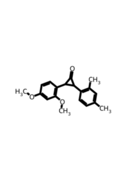 COc1ccc(C2C(=O)C2c2ccc(C)cc2C)c(OC)c1